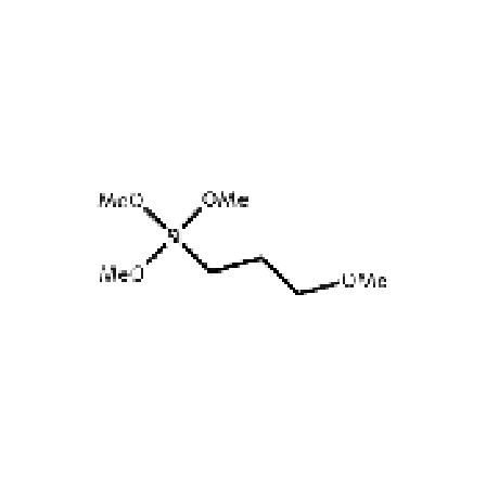 COCCC[Si](OC)(OC)OC